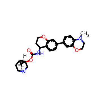 CN1CCOc2cc(-c3ccc4c(c3)OCCC4NC(=O)O[C@H]3CN4CCC3CC4)ccc21